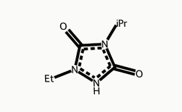 CCn1[nH]c(=O)n(C(C)C)c1=O